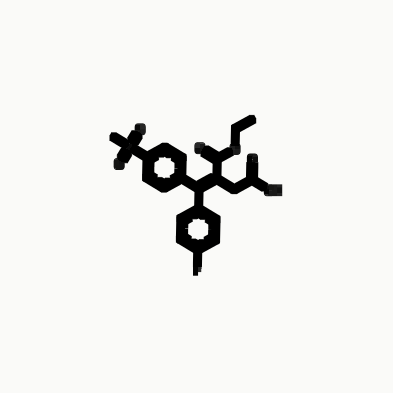 CCOC(=O)/C(CC(=O)O)=C(/c1ccc(F)cc1)c1ccc(S(C)(=O)=O)cc1